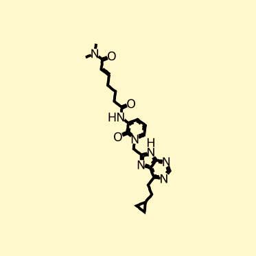 CN(C)C(=O)/C=C/CCCC(=O)Nc1cccn(Cc2nc3c(CCC4CC4)ncnc3[nH]2)c1=O